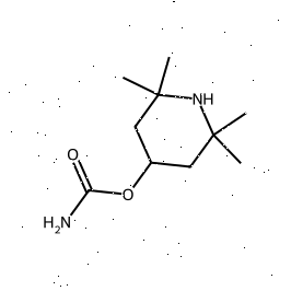 CC1(C)CC(OC(N)=O)CC(C)(C)N1